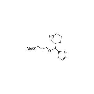 COCCCOC(c1ccccc1)[C@@H]1CCCNC1